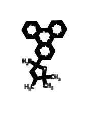 BC1(c2ccc3c4ccccc4c4ccccc4c3c2)C=C(C)C(C)(C)O1